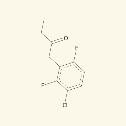 CCC(=O)Cc1c(F)ccc(Cl)c1F